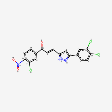 O=C(/C=C/c1cc(-c2ccc(Cl)c(Cl)c2)n[nH]1)c1ccc([N+](=O)[O-])c(Cl)c1